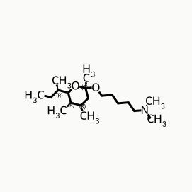 CC[C@@H](C)C1O[C@](C)(OCCCCCN(C)C)C[C@@H](C)[C@H]1C